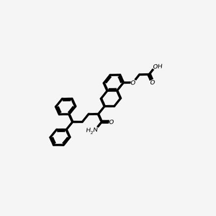 NC(=O)C(CCC(c1ccccc1)c1ccccc1)C1CCc2c(cccc2OCC(=O)O)C1